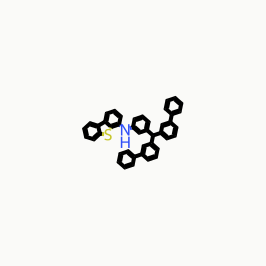 c1ccc(-c2cccc(C(c3cccc(Nc4cccc5c4sc4ccccc45)c3)c3cccc(-c4ccccc4)c3)c2)cc1